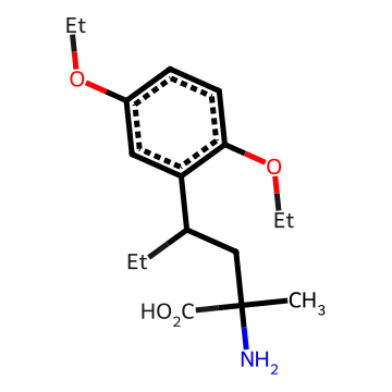 CCOc1ccc(OCC)c(C(CC)CC(C)(N)C(=O)O)c1